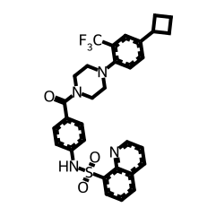 O=C(c1ccc(NS(=O)(=O)c2cccc3cccnc23)cc1)N1CCN(c2ccc(C3CCC3)cc2C(F)(F)F)CC1